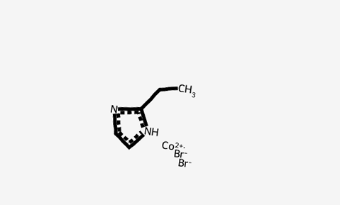 CCc1ncc[nH]1.[Br-].[Br-].[Co+2]